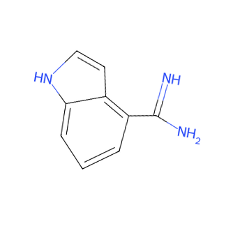 N=C(N)c1cccc2[nH]ccc12